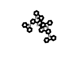 c1cc(-c2cccc(-c3cc(-n4c5ccccc5c5ccccc54)ccc3-n3c4ccccc4c4ccccc43)n2)nc(-c2cc(-n3c4ccccc4c4ccccc43)ccc2-n2c3ccccc3c3ccccc32)c1